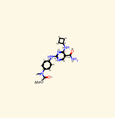 COC(=O)N(C)c1ccc(Nc2ncc(C(N)=O)c(NC3CCC3)n2)cc1